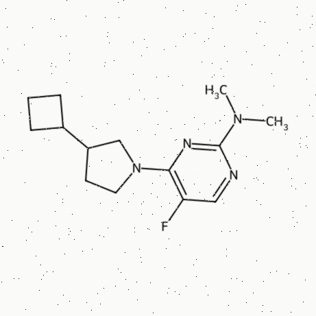 CN(C)c1ncc(F)c(N2CCC(C3CCC3)C2)n1